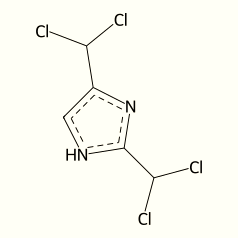 ClC(Cl)c1c[nH]c(C(Cl)Cl)n1